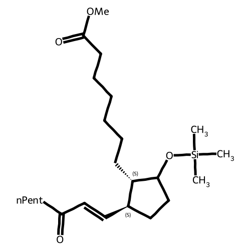 CCCCCC(=O)C=C[C@@H]1CCC(O[Si](C)(C)C)[C@H]1CCCCCCC(=O)OC